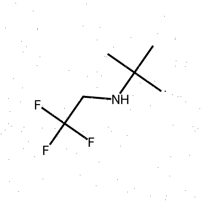 [CH2]C(C)(C)NCC(F)(F)F